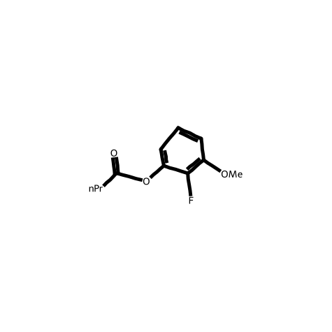 CCCC(=O)Oc1cccc(OC)c1F